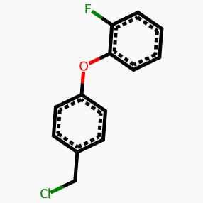 Fc1ccccc1Oc1ccc(CCl)cc1